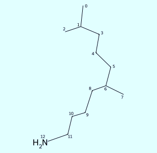 CC(C)CCCC(C)CCCCN